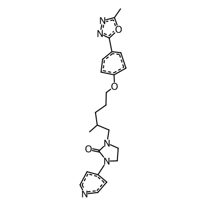 Cc1nnc(-c2ccc(OCCCC(C)CN3CCN(c4ccncc4)C3=O)cc2)o1